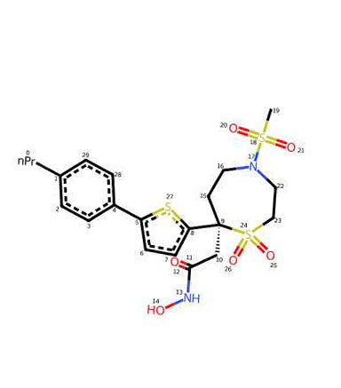 CCCc1ccc(-c2ccc([C@@]3(CC(=O)NO)CCN(S(C)(=O)=O)CCS3(=O)=O)s2)cc1